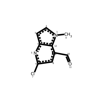 Cn1ccc2nc(Cl)cc(C=O)c21